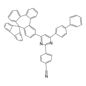 N#Cc1ccc(-c2nc(-c3ccc(-c4ccccc4)cc3)cc(-c3ccc4c(c3)-c3ccccc3-c3ccccc3C43c4ccccc4-c4ccccc43)n2)cc1